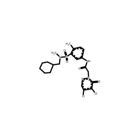 Cc1ccc(NC(=O)Cn2ncc(Cl)c(Cl)c2=O)cc1S(=O)(=O)N(C)CC1CCCCC1